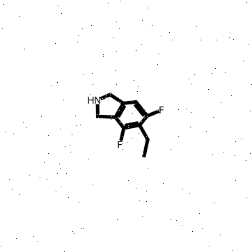 CCc1c(F)cc2c(c1F)CNC2